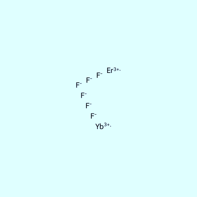 [Er+3].[F-].[F-].[F-].[F-].[F-].[F-].[Yb+3]